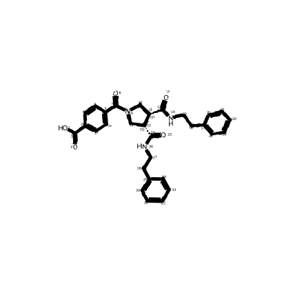 O=C(O)c1ccc(C(=O)N2C[C@@H](C(=O)NCCc3ccccc3)[C@H](C(=O)NCCc3ccccc3)C2)cc1